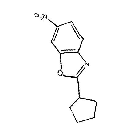 O=[N+]([O-])c1ccc2nc(C3CCCC3)oc2c1